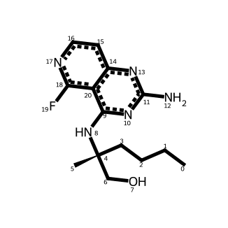 CCCC[C@](C)(CO)Nc1nc(N)nc2ccnc(F)c12